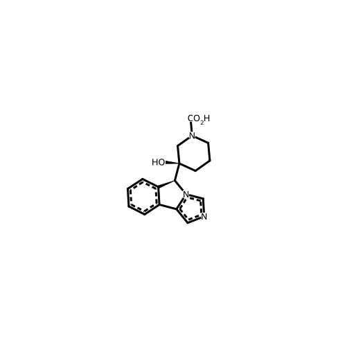 O=C(O)N1CCC[C@](O)([C@@H]2c3ccccc3-c3cncn32)C1